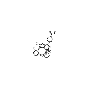 C=CC(=O)N1CCN(c2nc(=O)n3c4nc(c(Cl)cc24)-c2c(F)cccc2OC2(C)CCCC[C@@H]32)CC1